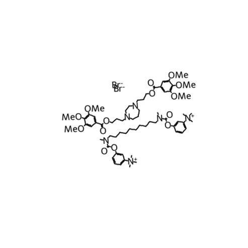 CN(CCCCCCCCCCN(C)C(=O)Oc1cccc([N+](C)(C)C)c1)C(=O)Oc1cccc([N+](C)(C)C)c1.COc1cc(C(=O)OCCCN2CCCN(CCCOC(=O)c3cc(OC)c(OC)c(OC)c3)CC2)cc(OC)c1OC.[Br-].[Br-]